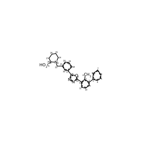 Cc1c(-c2ccccc2)cccc1-c1nnc(-c2cccc(CN3CCCCC3C(=O)O)c2)o1